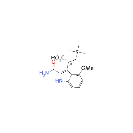 COc1cccc2[nH]c(C(N)=O)c([C@@H](C[Si](C)(C)C)C(=O)O)c12